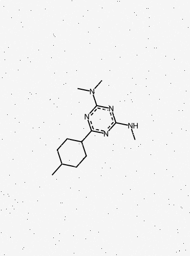 CNc1nc(C2CCC(C)CC2)nc(N(C)C)n1